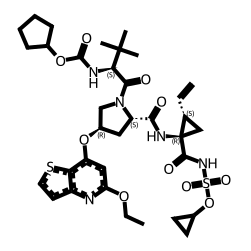 C=C[C@@H]1C[C@]1(NC(=O)[C@@H]1C[C@@H](Oc2cc(OCC)nc3ccsc23)CN1C(=O)[C@@H](NC(=O)OC1CCCC1)C(C)(C)C)C(=O)NS(=O)(=O)OC1CC1